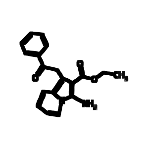 CCOC(=O)c1c(CC(=O)c2ccccc2)c2ccccn2c1N